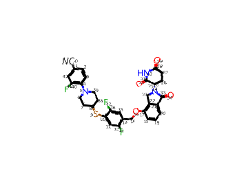 N#Cc1ccc(N2CCC(Sc3cc(F)c(COc4cccc5c4CN([C@H]4CCC(=O)NC4=O)C5=O)cc3F)CC2)c(F)c1